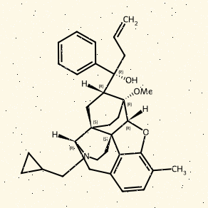 C=CC[C@](O)(c1ccccc1)[C@H]1C[C@@]23CC[C@]1(OC)[C@@H]1Oc4c(C)ccc5c4[C@@]12CCN(CC1CC1)[C@@H]3C5